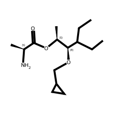 CCC(CC)[C@@H](OCC1CC1)[C@H](C)OC(=O)[C@H](C)N